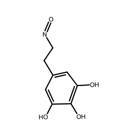 O=NCCc1cc(O)c(O)c(O)c1